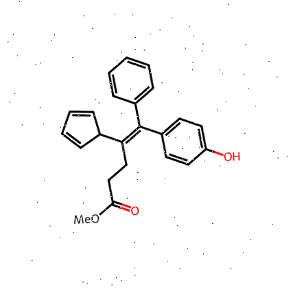 COC(=O)CCC(=C(c1ccccc1)c1ccc(O)cc1)C1C=CC=C1